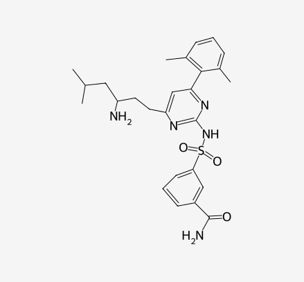 Cc1cccc(C)c1-c1cc(CCC(N)CC(C)C)nc(NS(=O)(=O)c2cccc(C(N)=O)c2)n1